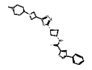 CN1CCC(N2CC(c3nnc([C@H]4C[C@@H](NC(=O)c5cc(-c6ccccc6)no5)C4)o3)C2)CC1